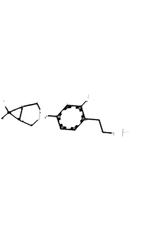 C[CH]Cc1ccc(N2CC3C(C2)C3(F)F)cc1Cl